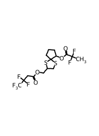 CC(F)(F)C(=O)OC1CCCC12SCC(COC(=O)CC(F)(F)C(F)(F)F)S2